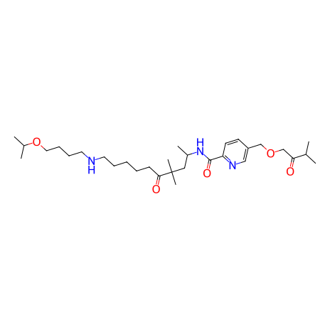 CC(CC(C)(C)C(=O)CCCCCNCCCCOC(C)C)NC(=O)c1ccc(COCC(=O)C(C)C)cn1